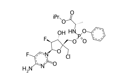 CC(C)OC(=O)[C@H](C)NP(=O)(OC[C@@]1(CCl)O[C@@H](n2cc(F)c(N)nc2=O)[C@@H](F)[C@@H]1O)Oc1ccccc1